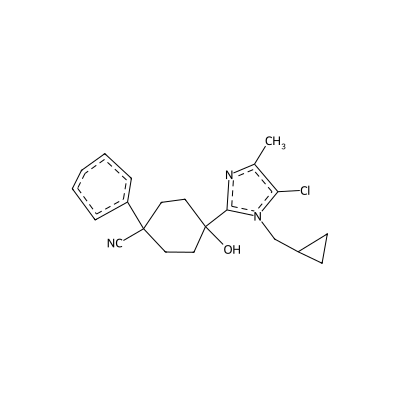 Cc1nc(C2(O)CCC(C#N)(c3ccccc3)CC2)n(CC2CC2)c1Cl